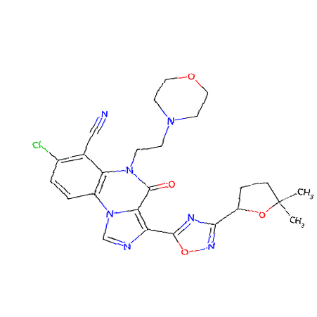 CC1(C)CCC(c2noc(-c3ncn4c3c(=O)n(CCN3CCOCC3)c3c(C#N)c(Cl)ccc34)n2)O1